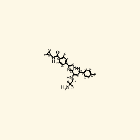 Cc1cc(-c2cn3nc(-c4ccc(F)cc4)cc(NCC(C)(C)N)c3n2)ccc1C(=O)NC1CC1